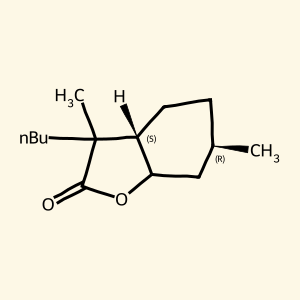 CCCCC1(C)C(=O)OC2C[C@H](C)CC[C@H]21